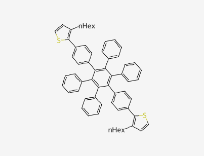 CCCCCCc1ccsc1-c1ccc(-c2c(-c3ccccc3)c(-c3ccccc3)c(-c3ccc(-c4sccc4CCCCCC)cc3)c(-c3ccccc3)c2-c2ccccc2)cc1